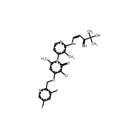 Cc1c(-n2c(C)cc(OCc3ncc(F)cc3F)c(Cl)c2=O)ccnc1N/C=C\C(=N)C(C)(C)O